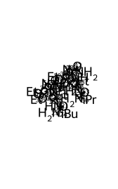 CCOc1cc2ncc(C(N)=O)c(Nc3cccc(CNC(=O)[C@@H](N)C(C)CC)c3CC)c2cc1OCC.CCOc1cc2ncc(C(N)=O)c(Nc3cccc(CNC(=O)[C@H](N)C(C)C)c3CC)c2cc1OCC